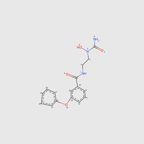 NC(=O)N(O)CCNC(=O)c1cccc(Oc2ccccc2)c1